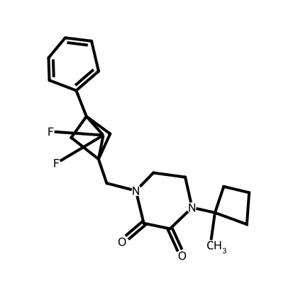 CC1(N2CCN(CC34CC(c5ccccc5)(C3)C4(F)F)C(=O)C2=O)CCC1